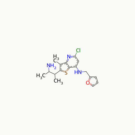 Cc1c(C(C)C(C)N)sc2c(NCc3ccco3)cc(Cl)nc12